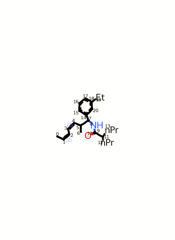 C/C=C\C=C/C(C)C(NC(=O)C(CCC)CCC)c1cccc(CC)c1